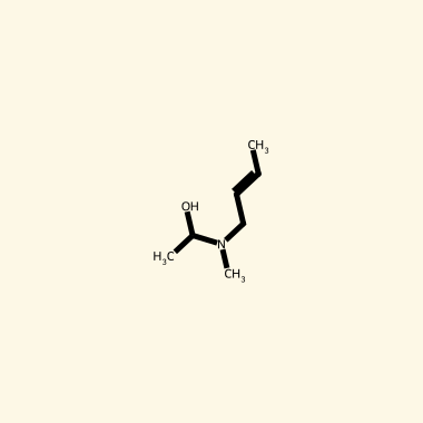 CC=CCN(C)C(C)O